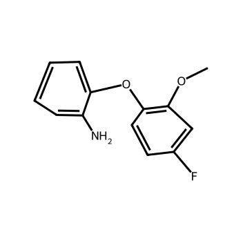 COc1cc(F)ccc1Oc1ccccc1N